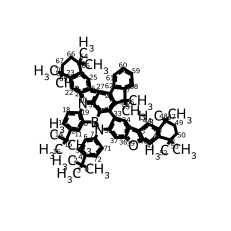 CC(C)(C)c1ccc(N2B3c4cc(C(C)(C)C)ccc4-n4c5cc6c(cc5c5c7c(c(c3c54)-c3cc4c(cc32)oc2cc3c(cc24)C(C)(C)CCC3(C)C)C(C)(C)c2ccccc2-7)C(C)(C)CCC6(C)C)cc1